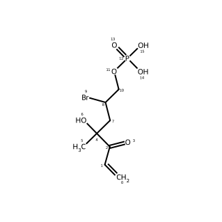 C=CC(=O)C(C)(O)CC(Br)COP(=O)(O)O